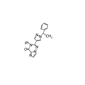 CC(c1ccccc1)n1cc(-c2nn3ccnc3c(=O)n2C(C)C)cn1